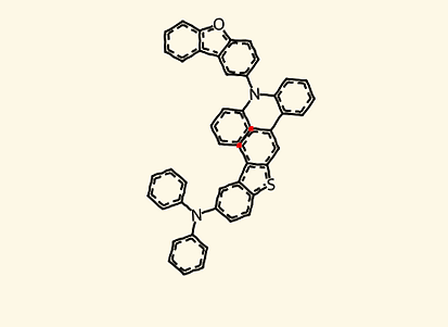 c1ccc(N(c2ccccc2)c2ccc3sc4cc(-c5ccccc5N(c5ccccc5)c5ccc6oc7ccccc7c6c5)ccc4c3c2)cc1